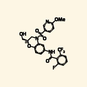 COc1ccc(S(=O)(=O)N2C[C@H](CO)Oc3ccc(NC(=O)c4c(F)cccc4C(F)(F)F)cc32)cn1